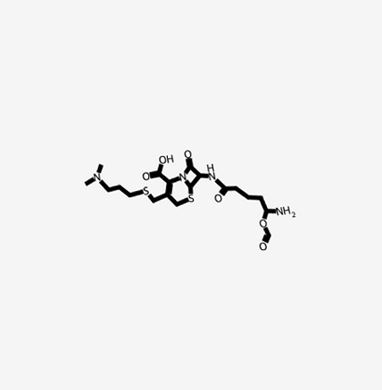 CN(C)CCCSCC1=C(C(=O)O)N2C(=O)C(NC(=O)CCCC(N)OC=O)C2SC1